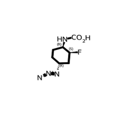 [N-]=[N+]=N[C@@H]1CC[C@@H](NC(=O)O)[C@@H](F)C1